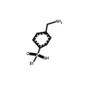 CCS(=N)(=O)c1ccc(CN)cc1